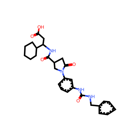 O=C(O)CC(NC(=O)C1CC(=O)N(c2cccc(NC(=O)NCc3ccccc3)c2)C1)C1CCCCC1